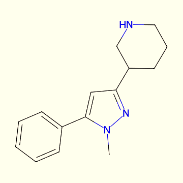 Cn1nc(C2CCCNC2)cc1-c1ccccc1